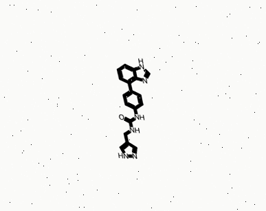 O=C(NCc1cn[nH]c1)Nc1ccc(-c2cccc3[nH]cnc23)cc1